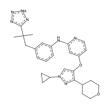 CC(C)(Cc1cccc(Nc2cc(Oc3cn(C4CC4)nc3C3CCOCC3)ccn2)c1)c1nn[nH]n1